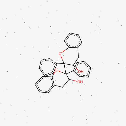 OC1Cc2ccccc2OC1(c1ccccc1)C1(c2ccccc2)Oc2ccccc2CC1O